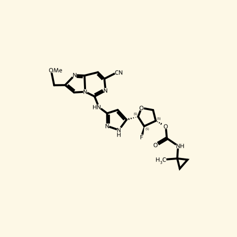 COCc1cn2c(Nc3cc([C@@H]4OC[C@H](OC(=O)NC5(C)CC5)[C@H]4F)[nH]n3)nc(C#N)cc2n1